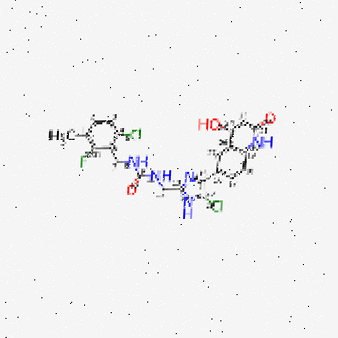 Cc1ccc(Cl)c(CNC(=O)NCc2nc(-c3ccc4[nH]c(=O)cc(O)c4c3)c(Cl)[nH]2)c1F